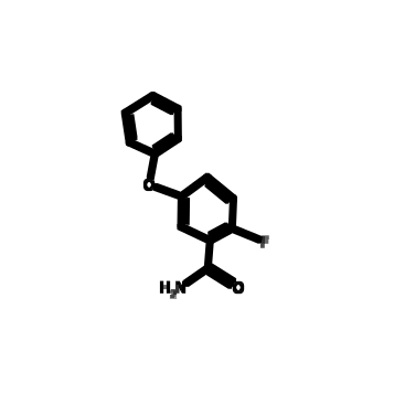 NC(=O)c1cc(Oc2ccccc2)ccc1F